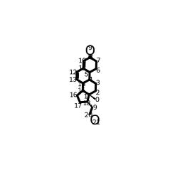 C[C@]12CCC3C4CCC(=O)C=C4C=CC3C1CC[C@@H]2CC=O